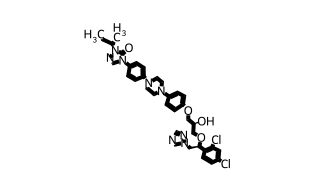 CCC(C)n1ncn(-c2ccc(N3CCN(c4ccc(OC[C@H](O)CO[C@H](Cn5cncn5)c5ccc(Cl)cc5Cl)cc4)CC3)cc2)c1=O